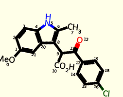 COc1ccc2[nH]c(C)c(C(C(=O)O)C(=O)c3ccc(Cl)cc3)c2c1